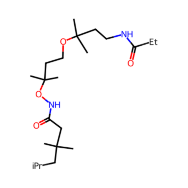 CCC(=O)NCCC(C)(C)OCCC(C)(C)ONC(=O)CC(C)(C)CC(C)C